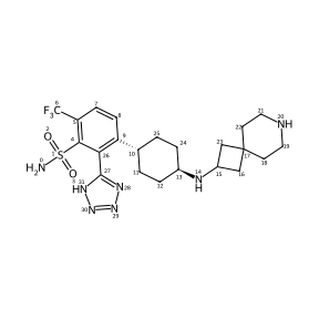 NS(=O)(=O)c1c(C(F)(F)F)ccc([C@H]2CC[C@H](NC3CC4(CCNCC4)C3)CC2)c1-c1nnn[nH]1